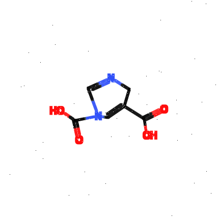 O=C(O)C1=CN(C(=O)O)C=NC1